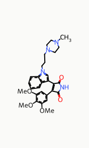 COc1cc(C2=C(c3cn(CCCN4CCN(C)CC4)c4ccccc34)C(=O)NC2=O)cc(OC)c1OC